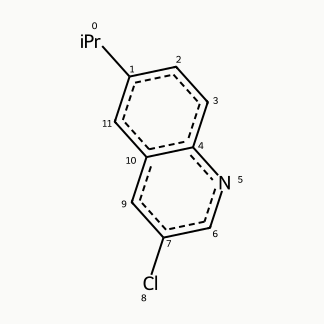 CC(C)c1ccc2ncc(Cl)cc2c1